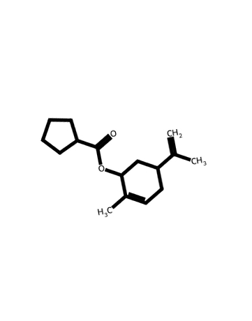 C=C(C)C1CC=C(C)C(OC(=O)C2CCCC2)C1